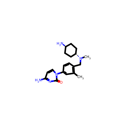 Cc1cc(-n2ccc(N)nc2=O)ccc1CN(C)[C@H]1CC[C@H](N)CC1